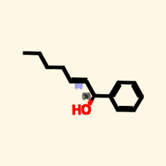 CCCC/C=C/[C@H](O)c1ccccc1